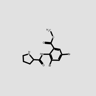 COC(=O)c1cc(Br)cc(Br)c1NC(=O)C1CCCN1